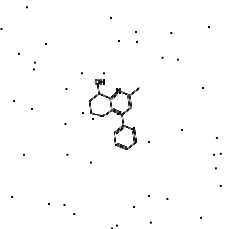 Cc1cc(-c2ccccc2)c2c(n1)C(O)CCC2